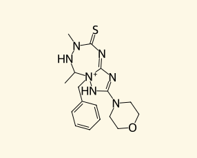 CC1NN(C)C(=S)N=C2N=C(N3CCOCC3)N[N+]21Cc1ccccc1